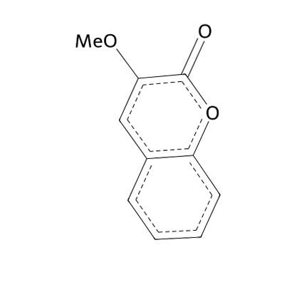 [CH2]Oc1cc2ccccc2oc1=O